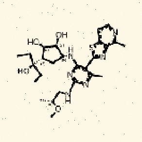 CCC(O)(CC)[C@H]1C[C@@H](Nc2nc(NC[C@@H](C)OC)nc(C)c2-c2nc3c(C)nccc3s2)[C@H](O)[C@@H]1O